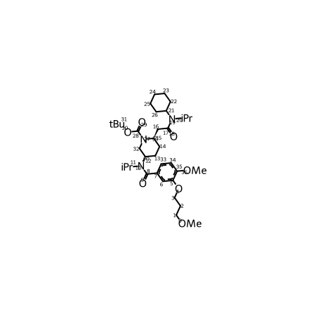 COCCCOc1cc(C(=O)N(C(C)C)[C@@H]2CC[C@H](CC(=O)N(C(C)C)C3CCCCC3)N(C(=O)OC(C)(C)C)C2)ccc1OC